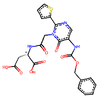 O=C(O)C[C@H](NC(=O)Cn1c(-c2cccs2)ncc(NC(=O)OCc2ccccc2)c1=O)C(=O)O